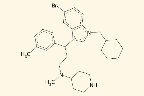 Cc1cccc(C(CCN(C)C2CCNCC2)c2cn(CC3CCCCC3)c3ccc(Br)cc23)c1